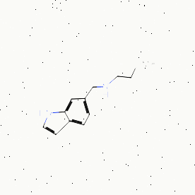 COCCNCc1ccc2cc[nH]c2c1